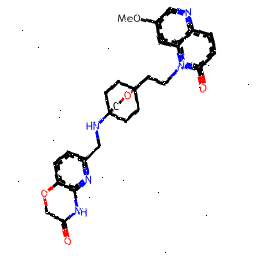 COc1cnc2ccc(=O)n(CCC34CCC(NCc5ccc6c(n5)NC(=O)CO6)(CC3)CO4)c2c1